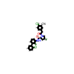 N#Cc1cc(CC(=O)N2C[C@H](F)C[C@H]2C(=O)Nc2cccc(-c3ccccc3Cl)c2F)ccc1Cl